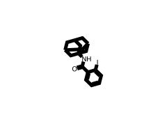 O=C(NC12CC3CC(CC(C3)C1)C2)c1ccccc1I